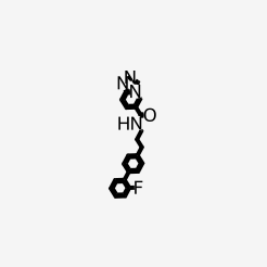 O=C(NCCCc1ccc(-c2ccccc2F)cc1)c1ccc2nncn2c1